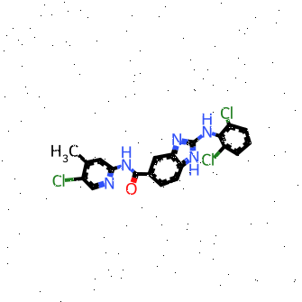 Cc1cc(NC(=O)c2ccc3[nH]c(Nc4c(Cl)cccc4Cl)nc3c2)ncc1Cl